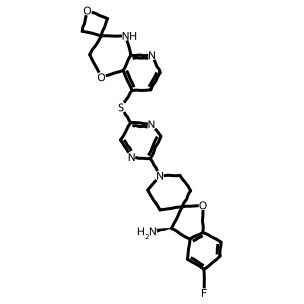 N[C@@H]1c2cc(F)ccc2OC12CCN(c1cnc(Sc3ccnc4c3OCC3(COC3)N4)cn1)CC2